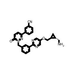 N#Cc1cccc(-c2ccc(=O)n(Cc3cccc(-c4ncc(OCC5C[C@@H]5CN)cn4)c3)n2)c1